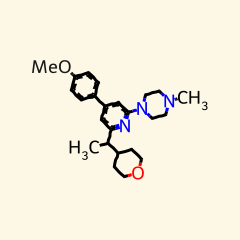 COc1ccc(-c2cc(C(C)C3CCOCC3)nc(N3CCN(C)CC3)c2)cc1